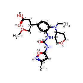 CCN(c1ccc([C@@H](COC)CC(=O)O)cc1NC(=O)Nc1cc(C)no1)C1CCOCC1